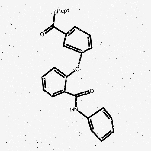 CCCCCCCC(=O)c1cccc(Oc2ccccc2C(=O)Nc2ccccc2)c1